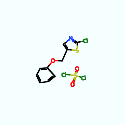 Clc1ncc(COc2ccccc2)s1.O=S(=O)(Cl)Cl